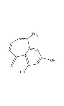 Bc1cccc(=O)c2c(O)cc(O)cc12